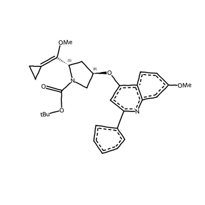 COC(=C1CC1)[C@@H]1C[C@@H](Oc2cc(-c3ccccc3)nc3cc(OC)ccc23)CN1C(=O)OC(C)(C)C